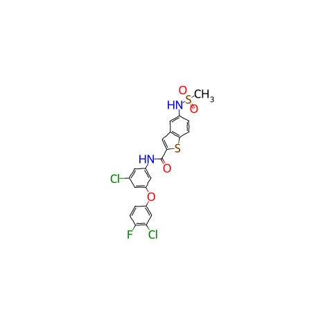 CS(=O)(=O)Nc1ccc2sc(C(=O)Nc3cc(Cl)cc(Oc4ccc(F)c(Cl)c4)c3)cc2c1